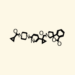 O=C1OC2(CCN(C(=O)C3(c4ccc(N5CCN(C(=O)C6CC6)CC5)nc4)CC3)C2)c2ccccc21